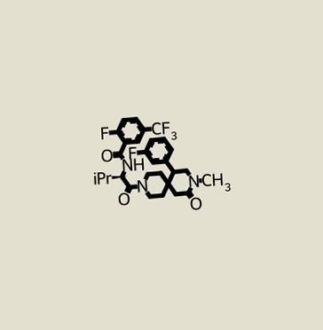 CC(C)[C@@H](NC(=O)c1cc(C(F)(F)F)ccc1F)C(=O)N1CCC2(CC1)CC(=O)N(C)CC2c1cccc(F)c1